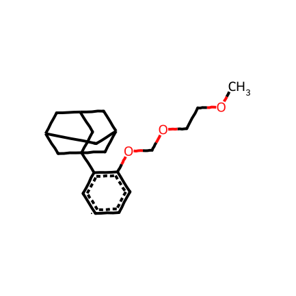 COCCOCOc1cc[c]cc1C12CC3CC(CC(C3)C1)C2